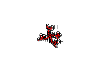 OCCCOCC(COCc1cn(CC(O)COCC(COCC(O)Cn2cc(COCC(COCCCO)(COCC3CO3)COCC3CO3)nn2)(COCC(O)Cn2cc(COCC(COCC3CO3)(COCC3CO3)COCC3CO3)nn2)COCC(O)Cn2cc(COCC(COCC3CO3)(COCC3CO3)COCC3CO3)nn2)nn1)(COCC1CO1)COCC1CO1